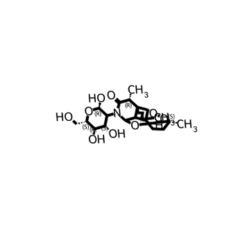 C[C@@H]1CCC23C4OO[C@@]5(C)CCC41C2C(O5)N(C1[C@H](O)O[C@@H](CO)[C@H](O)[C@H]1O)C(=O)[C@@H]3C